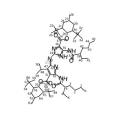 CCCCC(CC)C(=O)NC1=N/C(=N\c2nc(C(=O)OC3C(C(C)(C)C)CC(C)CC3C(C)(C)C)c(NC(=O)C(CC)CCCC)[nH]2)C(C(C)C)=C1C(=O)OC1C(C(C)(C)C)CC(C)CC1C(C)(C)C